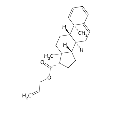 C=CCOC(=O)[C@H]1CC[C@H]2[C@@H]3CC=C4C=CC=C[C@]4(C)[C@H]3CC[C@]12C